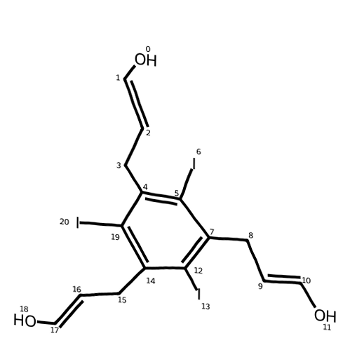 OC=CCc1c(I)c(CC=CO)c(I)c(CC=CO)c1I